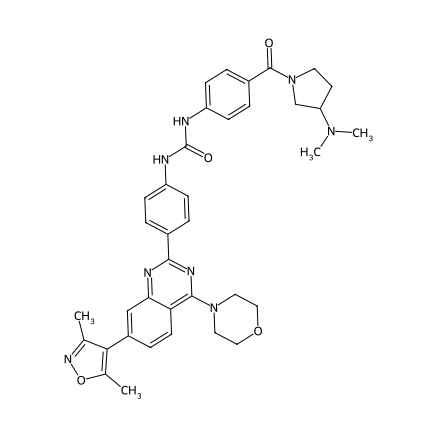 Cc1noc(C)c1-c1ccc2c(N3CCOCC3)nc(-c3ccc(NC(=O)Nc4ccc(C(=O)N5CCC(N(C)C)C5)cc4)cc3)nc2c1